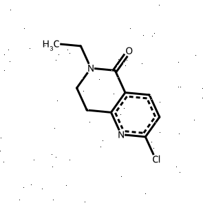 CCN1CCc2nc(Cl)ccc2C1=O